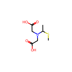 CSC(C)N(CC(=O)O)CC(=O)O